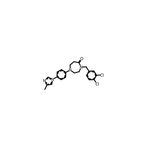 Cc1cn(-c2ccc(N3CCC(=O)N(Cc4ccc(Cl)c(Cl)c4)CC3)cc2)cn1